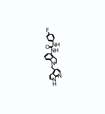 O=C(Nc1ccc(F)cc1)Nc1cccc2c1CCN2Cc1ccnc2[nH]ccc12